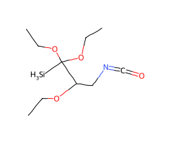 CCOC(CN=C=O)C([SiH3])(OCC)OCC